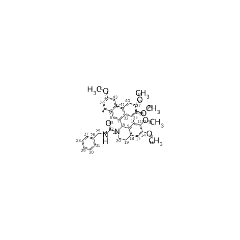 COc1ccc2cc(C3c4cc(OC)c(OC)cc4CCN3C(=O)NCc3ccccc3)c3cc(OC)c(OC)cc3c2c1